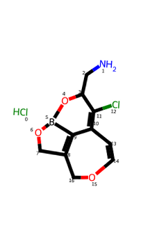 Cl.NCC1OB2OCC3=C2C(=C1Cl)C=COC3